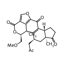 COC[C@H]1OC(=O)c2coc3c2[C@@]1(C)C1=C(C3=O)[C@@H]2CCC(=O)[C@@]2(C)C[C@H]1CC(C)=O